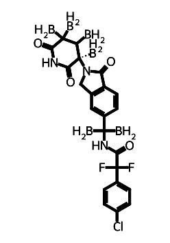 BC1C(B)(B)C(=O)NC(=O)[C@]1(B)N1Cc2cc(C(B)(B)NC(=O)C(F)(F)c3ccc(Cl)cc3)ccc2C1=O